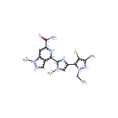 CCn1nc(C)c(Cl)c1-c1cn(C)c(-c2nc(C(N)=O)cc3c2cnn3C)n1